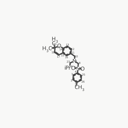 Cc1ccc(S(=O)(=O)CN(Cc2ccc3c(c2)C=CC(C)(C)O3)CC(C)C)cc1